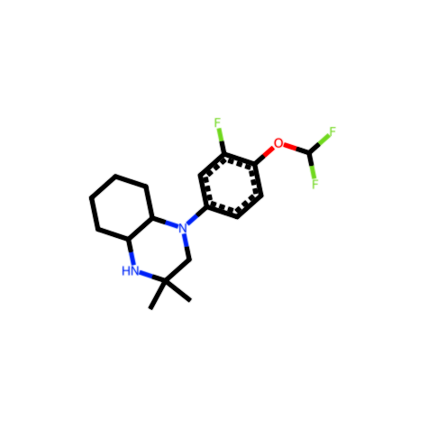 CC1(C)CN(c2ccc(OC(F)F)c(F)c2)C2CCCCC2N1